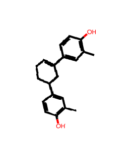 Cc1cc(C2=CCCC(c3ccc(O)c(C)c3)C2)ccc1O